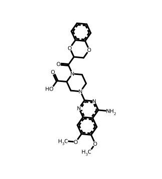 COc1cc2nc(N3CCN(C(=O)C4COc5ccccc5O4)C(C(=O)O)C3)nc(N)c2cc1OC